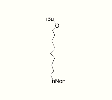 [CH2]CC([CH2])OCCCCCCCCCCCCCCCCCC